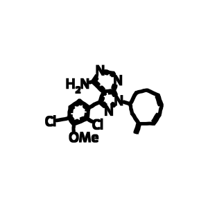 C=C1/C=C\C=C/CCC(n2nc(-c3ccc(Cl)c(OC)c3Cl)c3c(N)ncnc32)C1